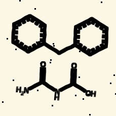 NC(=O)NC(=O)O.c1ccc(Cc2ccccc2)cc1